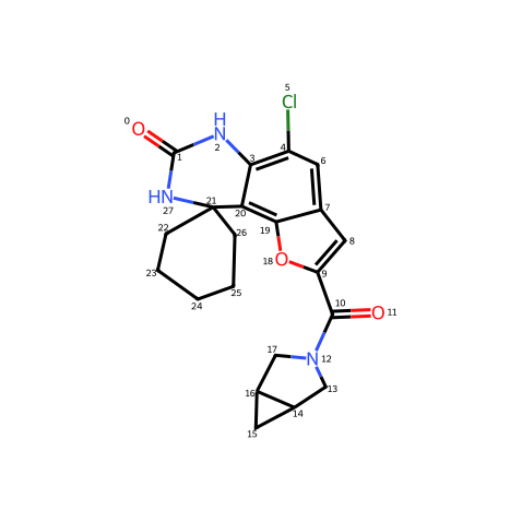 O=C1Nc2c(Cl)cc3cc(C(=O)N4CC5CC5C4)oc3c2C2(CCCCC2)N1